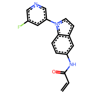 C=CC(=O)Nc1ccc2c(ccn2-c2cncc(F)c2)c1